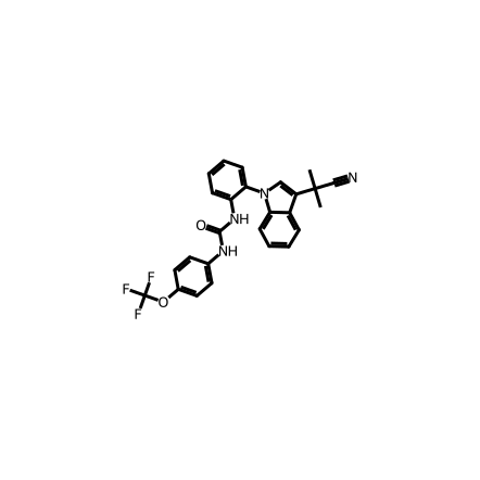 CC(C)(C#N)c1cn(-c2ccccc2NC(=O)Nc2ccc(OC(F)(F)F)cc2)c2ccccc12